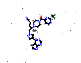 B[C@@](CCC#N)(Cn1cc(-c2ncnc3[nH]ccc23)cn1)N1CCN(C(=O)c2ccnc(C(F)(F)F)n2)CC1